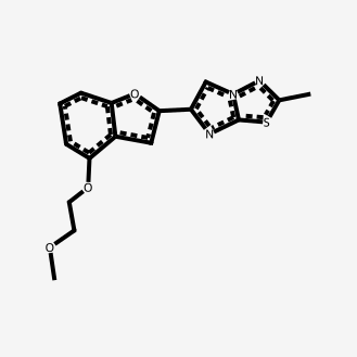 COCCOc1cccc2oc(-c3cn4nc(C)sc4n3)cc12